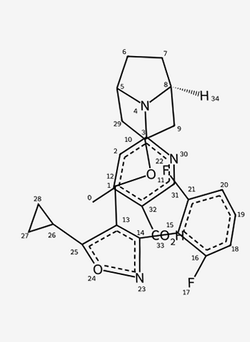 Cc1cc(N2C3CC[C@H]2CC(OCc2c(-c4c(F)cccc4F)noc2C2CC2)C3)ncc1C(=O)O